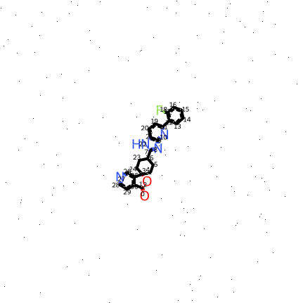 O=C1OC2(CCC(c3nc4nc(-c5ccccc5F)ccc4[nH]3)CC2)c2cnccc21